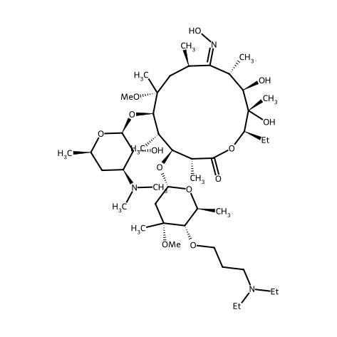 CC[C@H]1OC(=O)[C@H](C)[C@@H](O[C@H]2C[C@@](C)(OC)[C@@H](OCCCN(CC)CC)[C@H](C)O2)[C@H](C)[C@@H](O[C@@H]2O[C@H](C)C[C@H](N(C)C)[C@H]2O)[C@](C)(OC)C[C@@H](C)/C(=N\O)[C@H](C)[C@@H](O)[C@]1(C)O